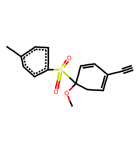 C#CC1=CCC(OC)(S(=O)(=O)c2ccc(C)cc2)C=C1